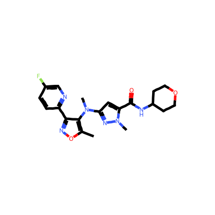 Cc1onc(-c2ccc(F)cn2)c1N(C)c1cc(C(=O)NC2CCOCC2)n(C)n1